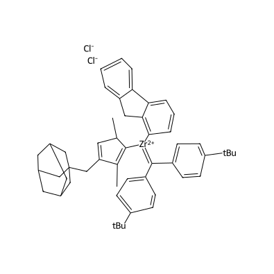 CC1=[C]([Zr+2](=[C](c2ccc(C(C)(C)C)cc2)c2ccc(C(C)(C)C)cc2)[c]2cccc3c2Cc2ccccc2-3)C(C)C=C1CC12CC3CC(CC(C3)C1)C2.[Cl-].[Cl-]